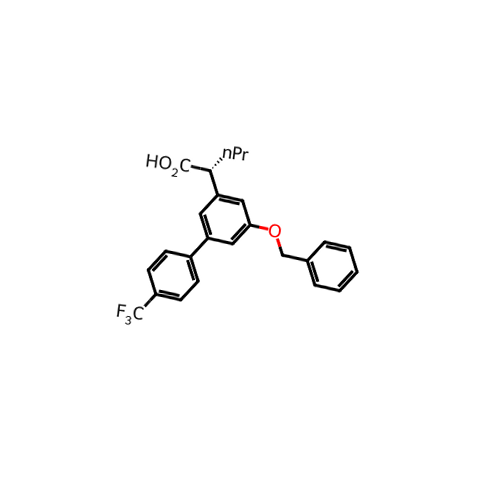 CCC[C@@H](C(=O)O)c1cc(OCc2ccccc2)cc(-c2ccc(C(F)(F)F)cc2)c1